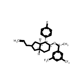 C=CCC1C[C@H]2CC[C@H](O[C@H](C)c3cc(C(F)(F)F)cc(C(F)(F)F)c3)[C@@H](c3ccc(F)cc3)[C@@H]2C1